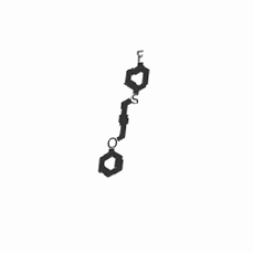 Fc1ccc(SCC#CCOc2ccccc2)cc1